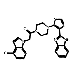 O=C(Cn1ccc2c(Cl)cccc21)N1CCN(c2scnc2-c2nc3ccccc3[nH]2)CC1